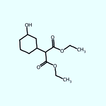 CCOC(=O)C(C(=O)OCC)C1CCCC(O)C1